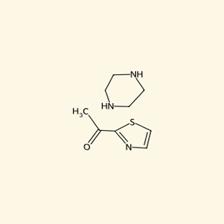 C1CNCCN1.CC(=O)c1nccs1